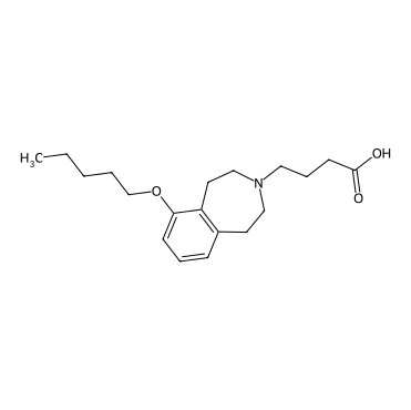 CCCCCOc1cccc2c1CCN(CCCC(=O)O)CC2